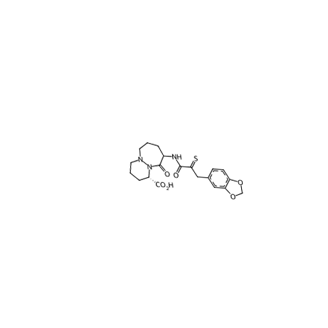 O=C(NC1CCCN2CCC[C@@H](C(=O)O)N2C1=O)C(=S)Cc1ccc2c(c1)OCO2